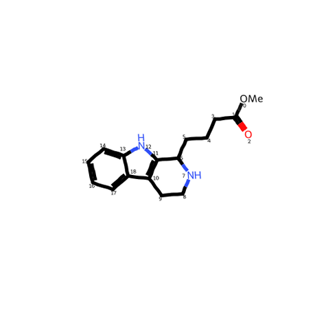 COC(=O)CCCC1NCCc2c1[nH]c1ccccc21